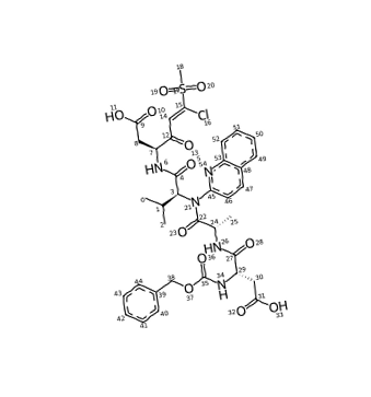 CC(C)[C@@H](C(=O)N[C@@H](CC(=O)O)C(=O)C=C(Cl)S(C)(=O)=O)N(C(=O)[C@H](C)NC(=O)[C@H](CC(=O)O)NC(=O)OCc1ccccc1)c1ccc2ccccc2n1